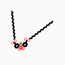 CCCCCCCCCCCCCCCCCOC(=O)c1ccc(O)c(S(=O)(=O)c2cc(C(=O)OCCCCCCCCCCCCCCCCC)ccc2O)c1